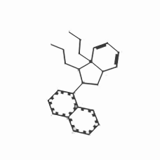 CCCC1C(c2cccc3ccccc23)[C]C2C=CC=CC21CCC